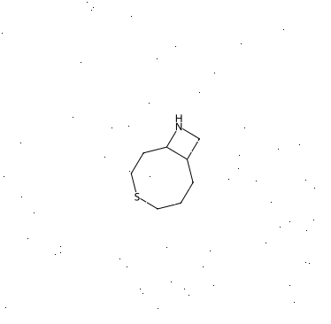 C1CSCCC2NCC2C1